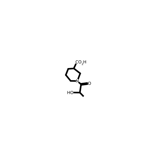 CC(O)C(=O)N1CCCC(C(=O)O)C1